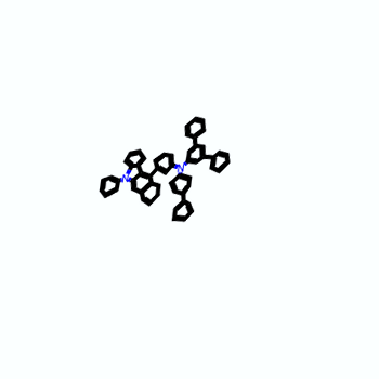 C1=Cc2cc3c(c(-c4cccc(N(c5ccc(-c6ccccc6)cc5)c5cc(-c6ccccc6)cc(-c6ccccc6)c5)c4)c2CC1)c1ccccc1n3-c1ccccc1